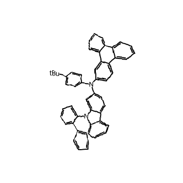 CC(C)(C)c1ccc(N(c2ccc3c4ccccc4c4ccccc4c3c2)c2ccc3c4ccccc4n(-c4ccccc4-c4ccccc4)c3c2)cc1